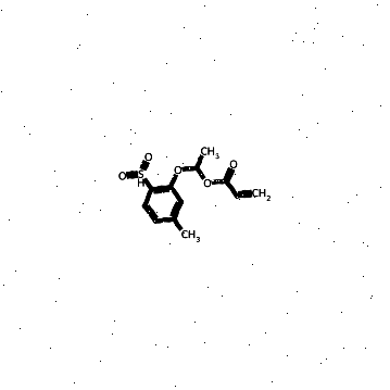 C=CC(=O)OC(C)Oc1cc(C)ccc1[SH](=O)=O